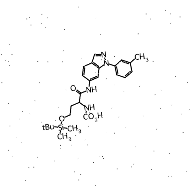 Cc1cccc(-n2ncc3ccc(NC(=O)C(CCO[Si](C)(C)C(C)(C)C)NC(=O)O)cc32)c1